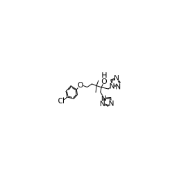 CC(C)(CCOc1ccc(Cl)cc1)C(O)(Cn1cncn1)Cn1cncn1